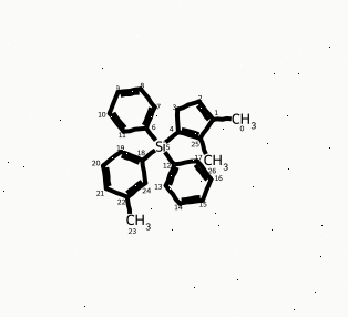 CC1=CCC([Si](c2ccccc2)(c2ccccc2)c2cccc(C)c2)=C1C